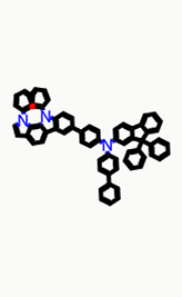 c1ccc(-c2ccc(N(c3ccc(-c4ccc5c(c4)c4ccc6ccn(-c7ccccc7)c6c4n5-c4ccccc4)cc3)c3ccc4c(c3)C(c3ccccc3)(c3ccccc3)c3ccccc3-4)cc2)cc1